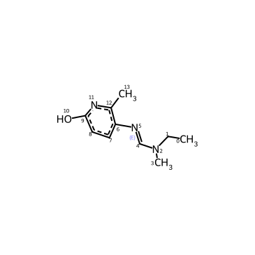 CCN(C)/C=N/c1ccc(O)nc1C